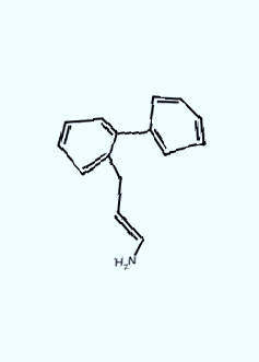 NC=CCc1ccccc1-c1ccccc1